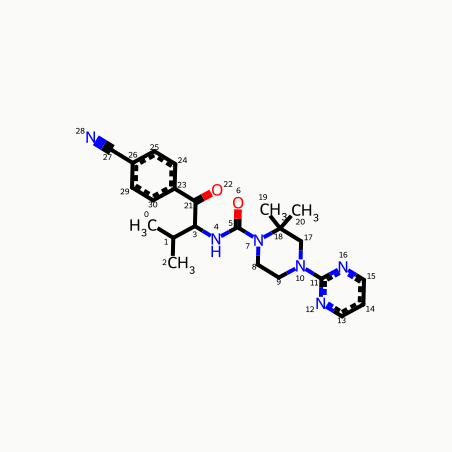 CC(C)C(NC(=O)N1CCN(c2ncccn2)CC1(C)C)C(=O)c1ccc(C#N)cc1